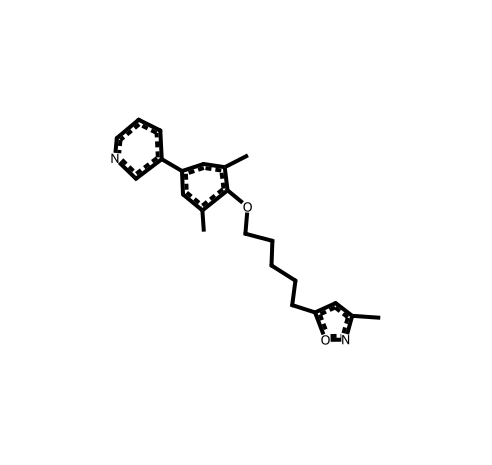 Cc1cc(CCCCCOc2c(C)cc(-c3cccnc3)cc2C)on1